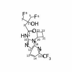 O=C(CC(O)(CF)CF)Nc1nc2ccc(C(F)(F)F)nc2n1C1CCC1